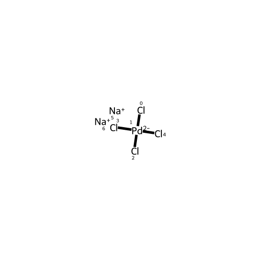 [Cl][Pd-2]([Cl])([Cl])[Cl].[Na+].[Na+]